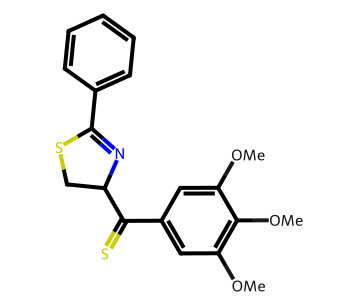 COc1cc(C(=S)C2CSC(c3ccccc3)=N2)cc(OC)c1OC